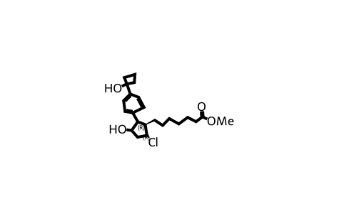 COC(=O)CCCCCC[C@@H]1C(c2ccc(C3(O)CCC3)cc2)C(O)C[C@H]1Cl